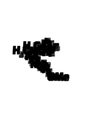 COCCN1CCN(c2cc3c(N[C@H](C)c4cccc(C(F)F)c4F)nc(C)nc3cn2)CC1